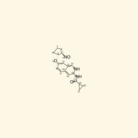 O=N[C@@H]1CCC[C@H]1Oc1ccc2c(c1)=CNC(NC(=O)C1CC1)C=2